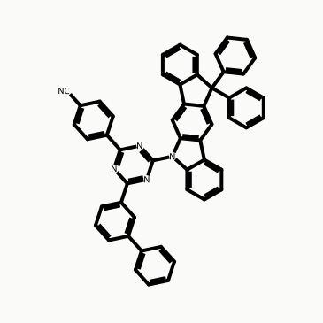 N#Cc1ccc(-c2nc(-c3cccc(-c4ccccc4)c3)nc(-n3c4ccccc4c4cc5c(cc43)-c3ccccc3C5(c3ccccc3)c3ccccc3)n2)cc1